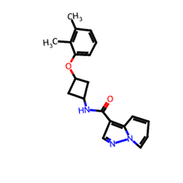 Cc1cccc(OC2CC(NC(=O)c3cnn4ccccc34)C2)c1C